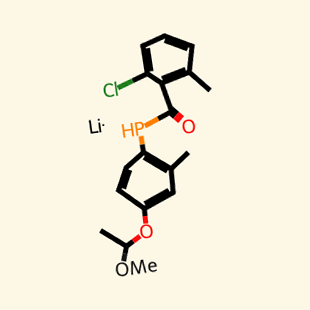 COC(C)Oc1ccc(PC(=O)c2c(C)cccc2Cl)c(C)c1.[Li]